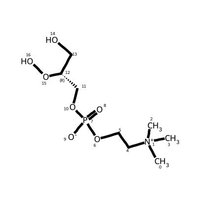 C[N+](C)(C)CCOP(=O)([O-])OC[C@@H](CO)OO